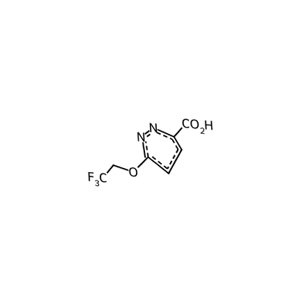 O=C(O)c1ccc(OCC(F)(F)F)nn1